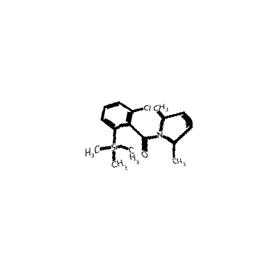 CC1C=CC(C)N1C(=O)c1c(Cl)cccc1[Si](C)(C)C